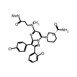 CNC(=O)CCN(C)c1cc(N2CCC[C@@H](C(N)=O)C2)n2nc(-c3ccccc3Cl)c(-c3ccc(Cl)cc3)c2n1